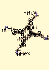 CCCCCC/C=C\CCCCC(=O)OCC(O)CN1CCCN(CC(O)COC(=O)CCCC/C=C\CCCCCC)CCN(CC(O)COC(=O)CCCC/C=C\CCCCCC)CCCN(CC(O)COC(=O)CCCC/C=C\CCCCCC)CC1